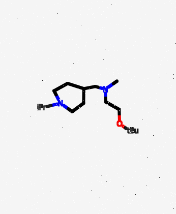 CC(C)N1CCC(CN(C)CCOC(C)(C)C)CC1